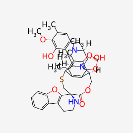 COc1c(C)cc2c(c1O)[C@@H]1[C@@H]3[C@@H]4SC[C@]5(NCCc6c5oc5ccccc65)C(=O)OC[C@@H](c5c6c(c(C)c(C)c54)OCO6)N3[C@@H](O)[C@H](C2)N1C